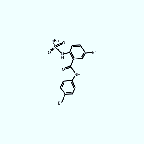 CCCCS(=O)(=O)Nc1ccc(Br)cc1C(=O)Nc1ccc(Br)cc1